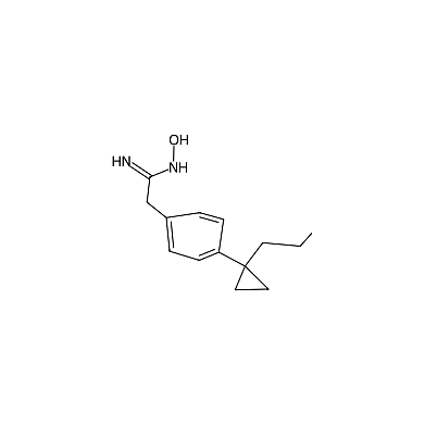 CCCC1(c2ccc(CC(=N)NO)cc2)CC1